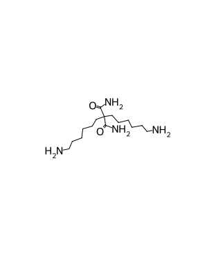 NCCCCCCC(CCCCCCN)(C(N)=O)C(N)=O